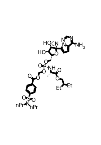 CCCN(CCC)S(=O)(=O)c1ccc(C(=O)OCO[P@](=O)(N[C@@H](C)C(=O)OCC(CC)CC)OC[C@H]2O[C@@](C#N)(c3ccc4c(N)ncnn34)[C@H](O)[C@@H]2O)cc1